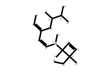 C/C=C(/C=C\N(C)C1(C)C=CC1(C)CC)CC(C)C(C)C